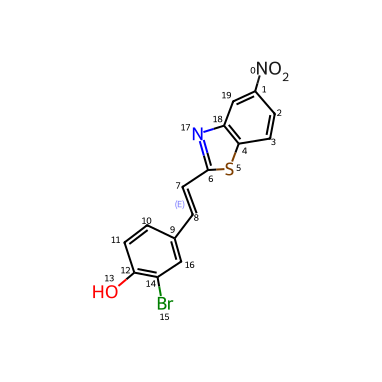 O=[N+]([O-])c1ccc2sc(/C=C/c3ccc(O)c(Br)c3)nc2c1